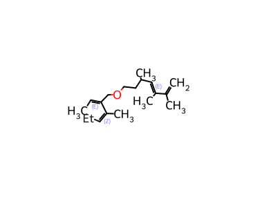 C=C(C)/C(C)=C/C(C)CCOCC(=C/C)/C(C)=C\CC